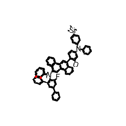 C[Si](C)(C)c1ccc(N(c2ccccc2)c2ccc3c(c2)Oc2cccc4c2c-3cc2c3ccccc3c(N(c3ccccc3)c3c(F)cc(-c5ccccc5)cc3-c3ccccc3)cc42)cc1